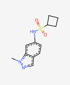 Cn1ncc2ccc(NS(=O)(=O)C3CCC3)cc21